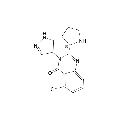 O=c1c2c(Cl)cccc2nc([C@@H]2CCCN2)n1-c1cn[nH]c1